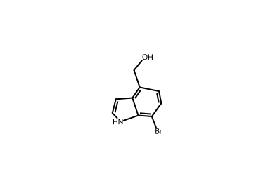 OCc1ccc(Br)c2[nH]ccc12